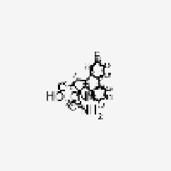 NC(=O)NC1(C(=O)O)C(Cl)CCC1c1ccccc1-c1ccc(F)cc1